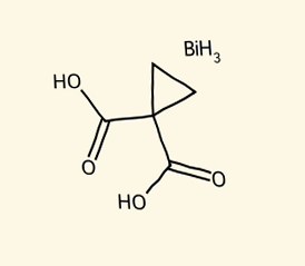 O=C(O)C1(C(=O)O)CC1.[BiH3]